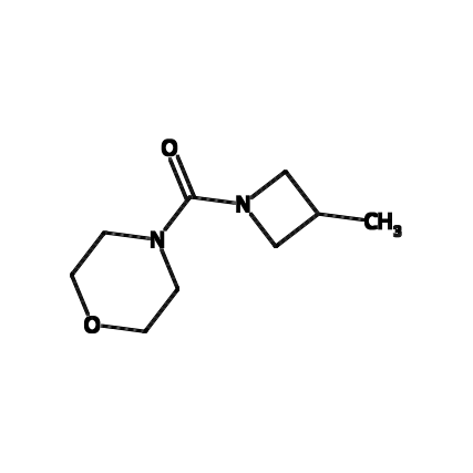 CC1CN(C(=O)N2CCOCC2)C1